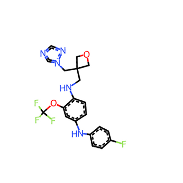 Fc1ccc(Nc2ccc(NCC3(Cn4cncn4)COC3)c(OC(F)(F)F)c2)cc1